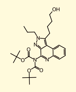 CCCn1nc2c(N(C(=O)OC(C)(C)C)C(=O)OC(C)(C)C)nc3ccccc3c2c1CCCCO